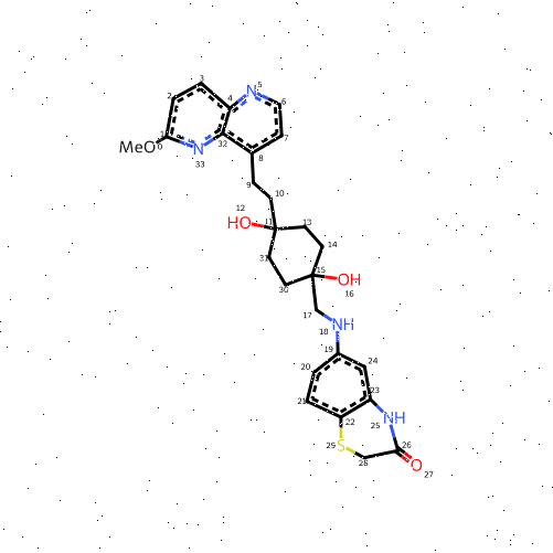 COc1ccc2nccc(CCC3(O)CCC(O)(CNc4ccc5c(c4)NC(=O)CS5)CC3)c2n1